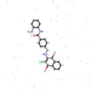 Nc1ccccc1NC(=O)c1ccc(CNC2=C(Cl)C(=O)c3ccccc3C2=O)cc1